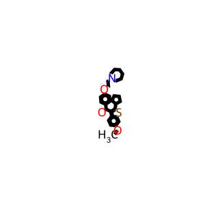 COc1ccc2c(C(=O)c3ccc(OCCN4CCCCCC4)cc3)c(C3CCCC3)sc2c1